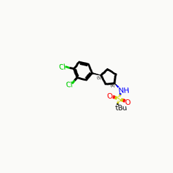 CC(C)(C)S(=O)(=O)N[C@@H]1CC[C@H](c2ccc(Cl)c(Cl)c2)C1